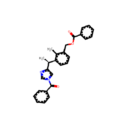 Cc1c(COC(=O)c2ccccc2)cccc1[C@H](C)c1cn(C(=O)c2ccccc2)cn1